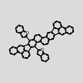 c1ccc2oc(-c3c4c(c(-c5cc6ccccc6o5)c5c3ccc3c6cc7c(cc6ccc35)-c3cc5ccccc5c5cccc-7c35)-c3cccc5c3c-4cc3ccccc35)cc2c1